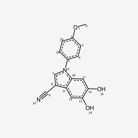 COc1ccc(-n2cc(C#N)c3cc(O)c(O)cc32)cc1